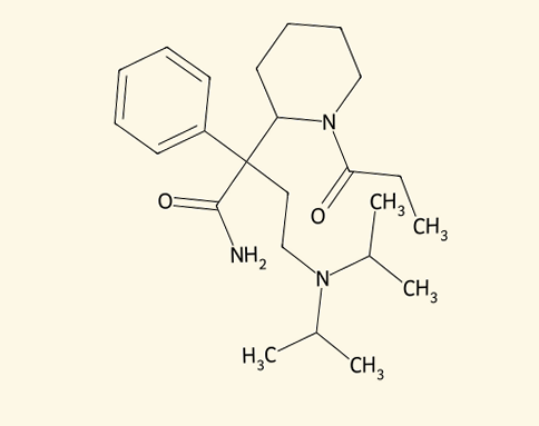 CCC(=O)N1CCCCC1C(CCN(C(C)C)C(C)C)(C(N)=O)c1ccccc1